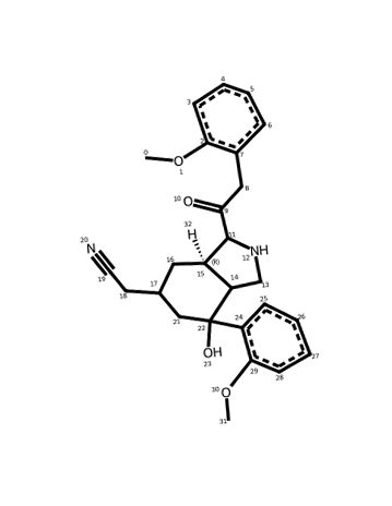 COc1ccccc1CC(=O)C1NCC2[C@H]1CC(CC#N)CC2(O)c1ccccc1OC